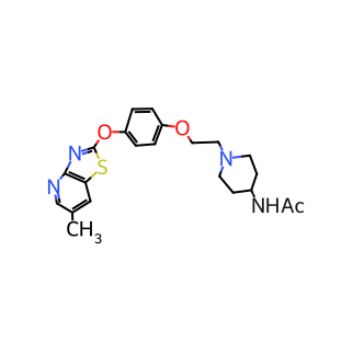 CC(=O)NC1CCN(CCOc2ccc(Oc3nc4ncc(C)cc4s3)cc2)CC1